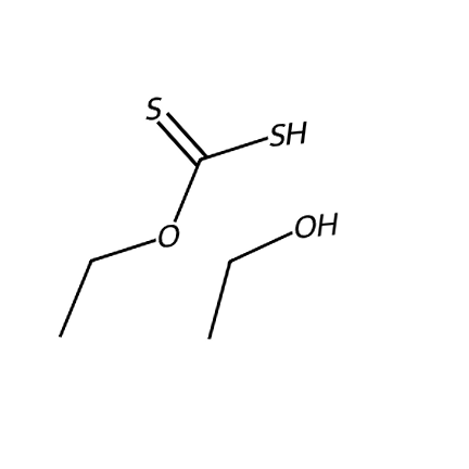 CCO.CCOC(=S)S